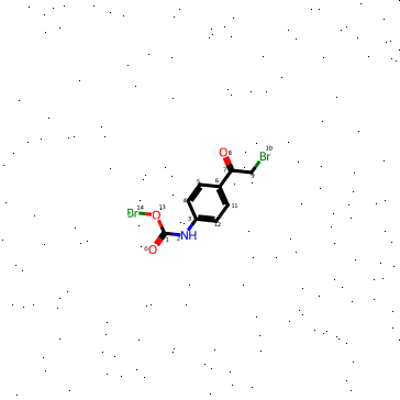 O=C(Nc1ccc(C(=O)CBr)cc1)OBr